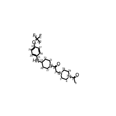 CC(=O)N1CCN(CC(=O)N2CCC(Nc3ccc(OC(F)(F)F)cc3)CC2)CC1